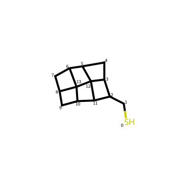 SCC1C2CC3C4CC5CC6C1C23C546